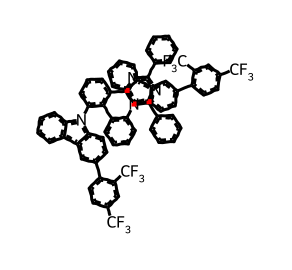 FC(F)(F)c1ccc(-c2ccc3c(c2)c2ccccc2n3-c2ccccc2-c2c(-c3cc(-c4ccccc4)nc(-c4ccccc4)n3)cccc2-n2c3ccccc3c3cc(-c4ccc(C(F)(F)F)cc4C(F)(F)F)ccc32)c(C(F)(F)F)c1